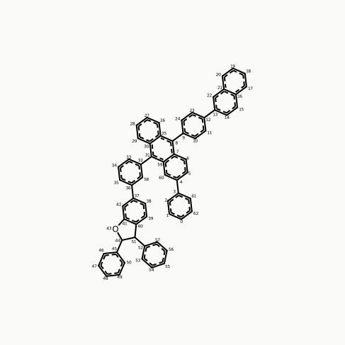 c1ccc(-c2ccc3c(-c4ccc(-c5ccc6ccccc6c5)cc4)c4ccccc4c(-c4cccc(-c5ccc6c(c5)OC(c5ccccc5)C6c5ccccc5)c4)c3c2)cc1